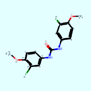 O=C(Nc1ccc(OC(F)(F)F)c(F)c1)Nc1ccc(OC(F)(F)F)c(F)c1